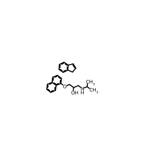 C1=Cc2ccccc2C1.CC(C)NCC(O)COc1cccc2ccccc12